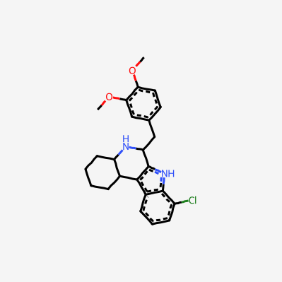 COc1ccc(CC2NC3CCCCC3c3c2[nH]c2c(Cl)cccc32)cc1OC